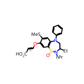 CCCN1C(CC)CN(c2ccccc2)c2cc(SC)c(O/C=C/C(=O)O)cc2[S+]1[O-]